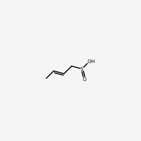 CC=CCS(=O)O